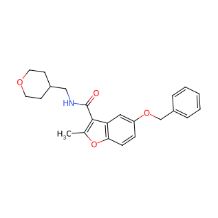 Cc1oc2ccc(OCc3ccccc3)cc2c1C(=O)NCC1CCOCC1